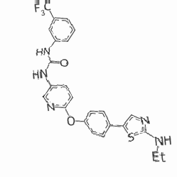 CCNc1ncc(-c2ccc(Oc3ccc(NC(=O)Nc4cccc(C(F)(F)F)c4)cn3)cc2)s1